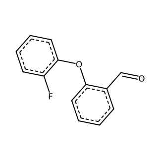 O=Cc1ccccc1Oc1ccccc1F